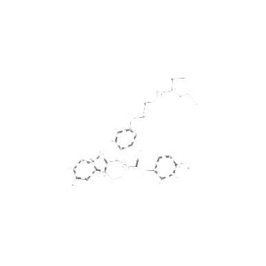 CCCC(CC)NCCCOc1ccc([C@H]2c3[nH]c4ccc(Cl)cc4c3CCN2C(=O)Oc2ccc(Cl)cc2)cc1